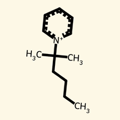 CCCCC(C)(C)[n+]1ccccc1